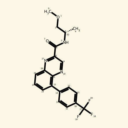 COC[C@H](C)NC(=O)c1cnc2c(-c3ccc(C(F)(F)F)cc3)cccc2n1